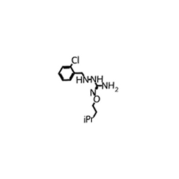 CC(C)CCON=C(N)NNCc1ccccc1Cl